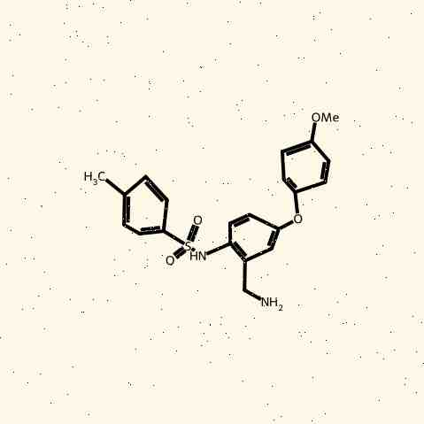 COc1ccc(Oc2ccc(NS(=O)(=O)c3ccc(C)cc3)c(CN)c2)cc1